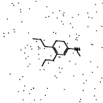 CCCC1=C(CCC)CCC(NC)=C1